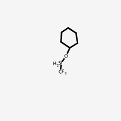 FC(F)(F)[SiH2]OC1CCCCC1